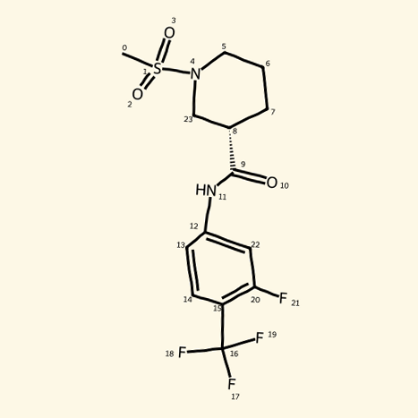 CS(=O)(=O)N1CCC[C@H](C(=O)Nc2ccc(C(F)(F)F)c(F)c2)C1